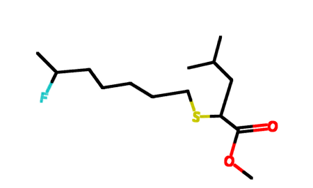 COC(=O)C(CC(C)C)SCCCCCC(C)F